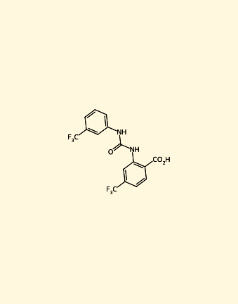 O=C(Nc1cccc(C(F)(F)F)c1)Nc1cc(C(F)(F)F)ccc1C(=O)O